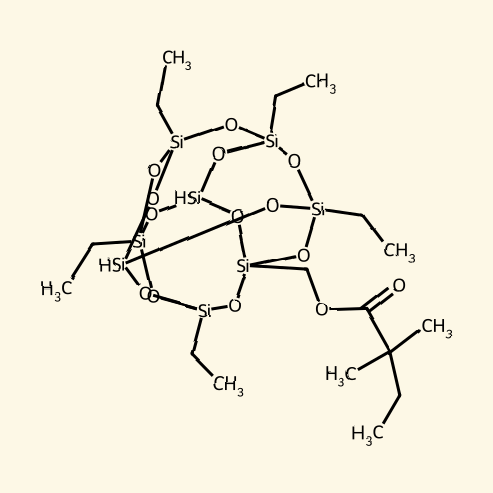 CCC(C)(C)C(=O)OC[Si]12O[SiH]3O[Si]4(CC)O[Si]5(CC)O[SiH](O[Si](CC)(O4)O1)O[Si](CC)(O[Si](CC)(O3)O5)O2